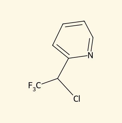 FC(F)(F)C(Cl)c1ccccn1